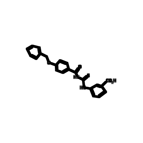 O=C(O)c1cccc(NC(=S)NC(=O)c2ccc(OCc3ccccc3)cc2)c1